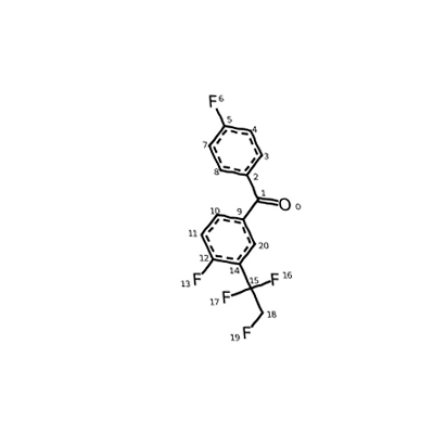 O=C(c1ccc(F)cc1)c1ccc(F)c(C(F)(F)CF)c1